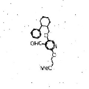 COCCOc1cc(C=O)c(OCC2CCCCC2c2ccccc2)cn1